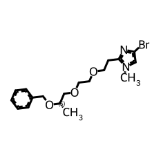 C[C@@H](COCCOCCc1nc(Br)cn1C)OCc1ccccc1